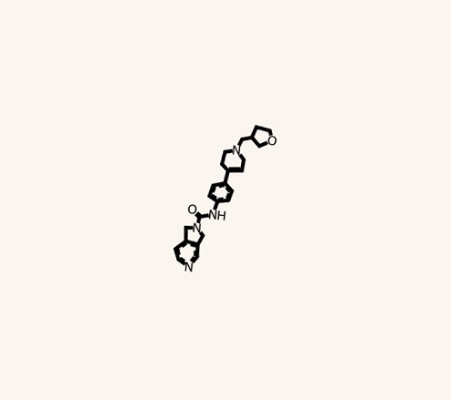 O=C(Nc1ccc(C2=CCN(CC3CCOC3)CC2)cc1)N1Cc2ccncc2C1